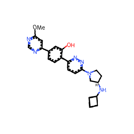 COc1cc(-c2ccc(-c3ccc(N4CC[C@@H](NC5CCC5)C4)nn3)c(O)c2)ncn1